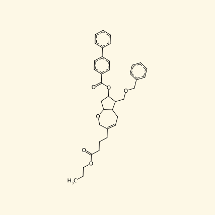 CCCOC(=O)CCCC1=CCC2C(CC(OC(=O)c3ccc(-c4ccccc4)cc3)C2COCc2ccccc2)OC1